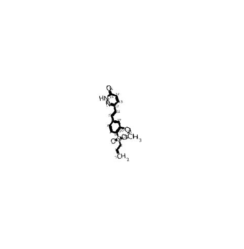 C=CCS(=O)(=O)c1ccc(C=Cc2ccc(=O)[nH]n2)cc1OC